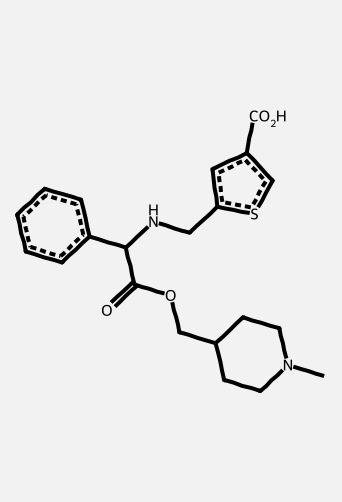 CN1CCC(COC(=O)C(NCc2cc(C(=O)O)cs2)c2ccccc2)CC1